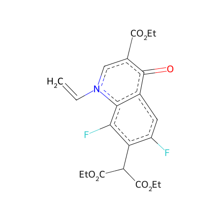 C=Cn1cc(C(=O)OCC)c(=O)c2cc(F)c(C(C(=O)OCC)C(=O)OCC)c(F)c21